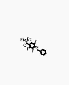 CCN(CC)C(=O)c1c(F)c(F)c(SCc2ccccc2)c(F)c1F